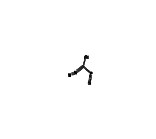 CC(=O)C(=[N+]=[N-])P=O